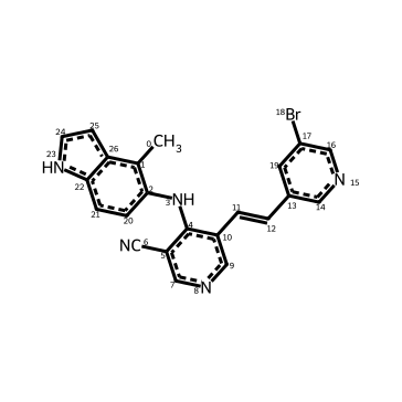 Cc1c(Nc2c(C#N)cncc2C=Cc2cncc(Br)c2)ccc2[nH]ccc12